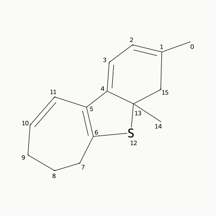 CC1=CC=C2C3=C(CCCC=C3)SC2(C)C1